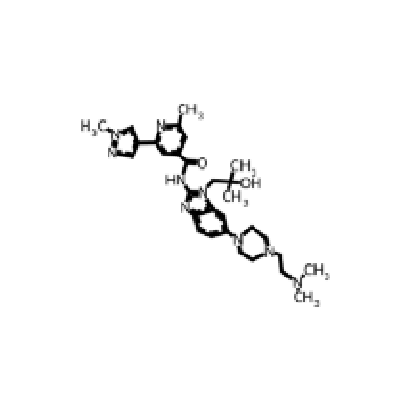 Cc1cc(C(=O)Nc2nc3ccc(N4CCN(CCN(C)C)CC4)cc3n2CC(C)(C)O)cc(-c2cnn(C)c2)n1